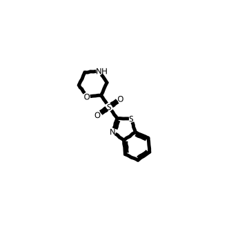 O=S(=O)(c1nc2ccccc2s1)C1CNCCO1